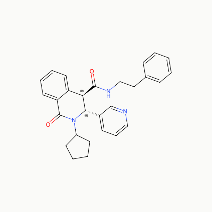 O=C(NCCc1ccccc1)[C@@H]1c2ccccc2C(=O)N(C2CCCC2)[C@H]1c1cccnc1